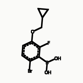 OB(O)c1c(Br)ccc(OCC2CC2)c1F